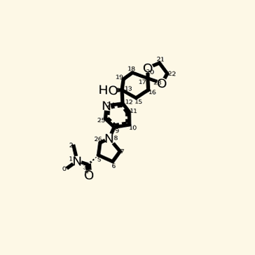 CN(C)C(=O)[C@H]1CCN(c2ccc(C3(O)CCC4(CC3)OCCO4)nc2)C1